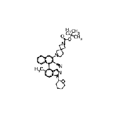 Cc1ccc2c(cnn2C2CCCCO2)c1-c1c(C#N)c(N2CCC3(CN(C(=O)OC(C)(C)C)C3)C2)cc2ccccc12